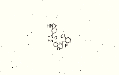 O=C(Nc1ccc2c(c1)N(Cc1c(F)cccc1Cl)CCO2)Nc1ccc2cc[nH]c2c1